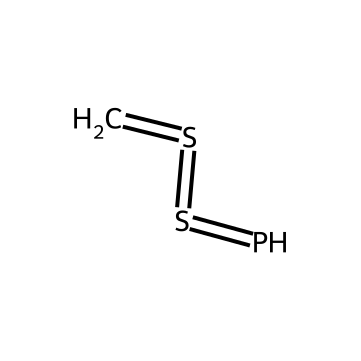 C=S=S=P